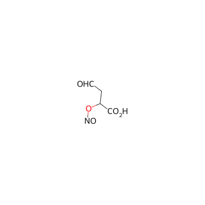 O=CCC(ON=O)C(=O)O